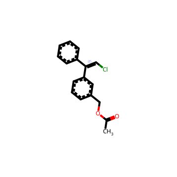 CC(=O)OCc1cccc(/C(=C\Cl)c2ccccc2)c1